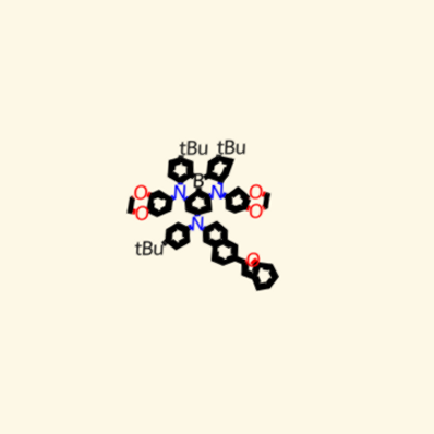 CC(C)(C)c1ccc(N(c2cc3c4c(c2)N(c2ccc5c(c2)OCCO5)c2ccc(C(C)(C)C)cc2B4c2cc(C(C)(C)C)ccc2N3c2ccc3c(c2)OCCO3)c2ccc3cc(-c4cc5ccccc5o4)ccc3c2)cc1